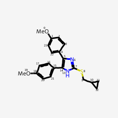 COc1ccc(-c2nc(SCC3CC3)[nH]c2-c2ccc(OC)cc2)cc1